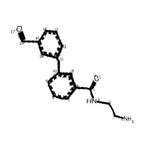 NCCNC(=O)c1cccc(-c2cccc(C=O)c2)c1